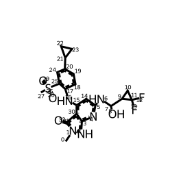 Cn1[nH]c2nc(NC(O)C3CC3(F)F)cc(Nc3ccc(C4CC4)cc3S(C)(=O)=O)c2c1=O